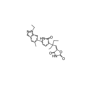 CCn1ncc2cc(C)c(-c3ccc(C(/C=C4/OC(=O)NC4=O)(CC)CC)c(=O)[nH]3)cc21